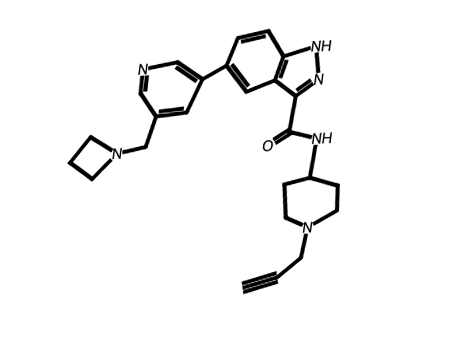 C#CCN1CCC(NC(=O)c2n[nH]c3ccc(-c4cncc(CN5CCC5)c4)cc23)CC1